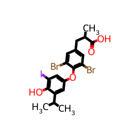 CC(Cc1cc(Br)c(Oc2cc(I)c(O)c(C(C)C)c2)c(Br)c1)C(=O)O